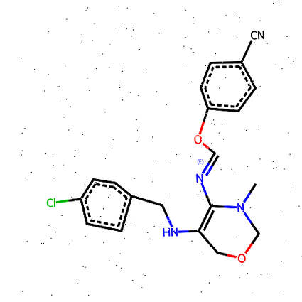 CN1COCC(NCc2ccc(Cl)cc2)=C1/N=C/Oc1ccc(C#N)cc1